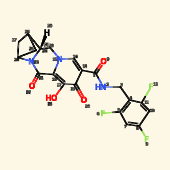 O=C(NCc1c(F)cc(F)cc1F)c1cn2c(c(O)c1=O)C(=O)N1C3CC(C3)[C@@H]1C2